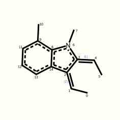 C/C=c1\c(=C/C)n(C)c2c(C)cccc12